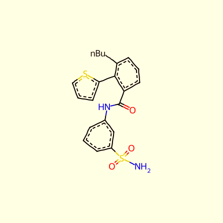 CCCCc1cccc(C(=O)Nc2cccc(S(N)(=O)=O)c2)c1-c1cccs1